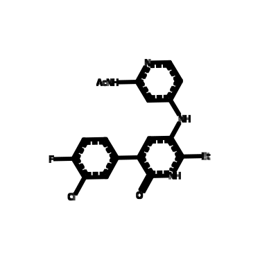 CCc1[nH]c(=O)c(-c2ccc(F)c(Cl)c2)cc1Nc1ccnc(NC(C)=O)c1